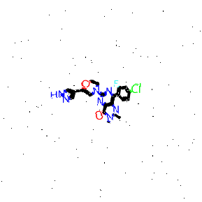 Cc1nc2c(-c3ccc(Cl)cc3F)nc(N3CCOC(c4cn[nH]c4)C3)nc2c(=O)n1C